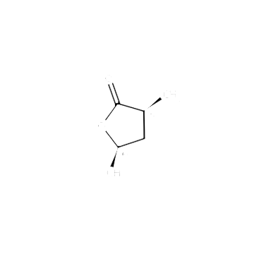 C[C@@H]1C[C@H](C)C(=O)O1